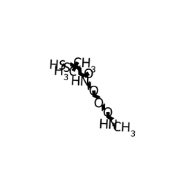 CNCCOCCOCCOCCNC(=O)CCC(C)(C)CSS